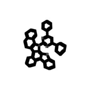 c1ccc(-c2cc(-c3ccccc3)nc(-n3c4c5ccccc5ccc4c4c5ccccc5c5c6ccccc6oc5c43)n2)cc1